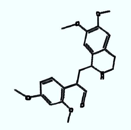 COc1ccc(C(C=O)CC2NCCc3cc(OC)c(OC)cc32)c(OC)c1